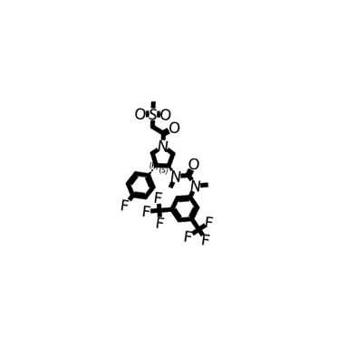 CN(C(=O)N(C)[C@@H]1CN(C(=O)CS(C)(=O)=O)C[C@H]1c1ccc(F)cc1)c1cc(C(F)(F)F)cc(C(F)(F)F)c1